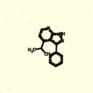 CC(C)c1ccnc2[nH]nc(-c3ccccc3)c12